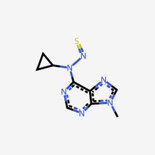 Cn1cnc2c(N(N=S)C3CC3)ncnc21